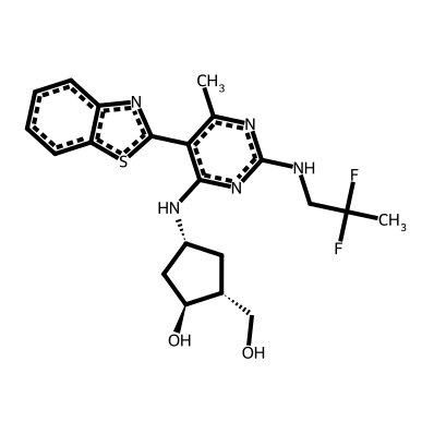 Cc1nc(NCC(C)(F)F)nc(N[C@@H]2C[C@H](CO)[C@@H](O)C2)c1-c1nc2ccccc2s1